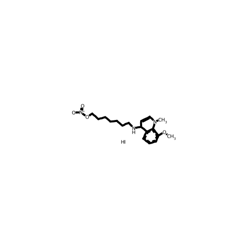 COc1cccc2c1N(C)C=CC2NCCCCCCCO[N+](=O)[O-].I